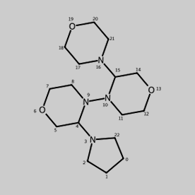 C1CCN(C2COCCN2N2CCOCC2N2CCOCC2)C1